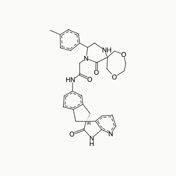 Cc1ccc(C2CNC3(COCCOC3)C(=O)N2CC(=O)Nc2ccc3c(c2)C[C@@]2(C3)C(=O)Nc3ncccc32)cc1